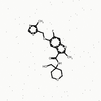 Cc1ncsc1COc1cc2c(C(=O)NC3(CO)CCOCC3)c(C)oc2cc1F